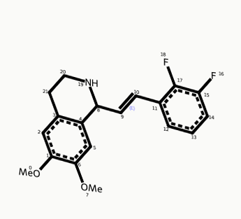 COc1cc2c(cc1OC)C(/C=C/c1cccc(F)c1F)NCC2